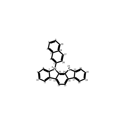 c1ccc2cc(-n3c4ccccc4c4ccc5c6ccccc6sc5c43)ccc2c1